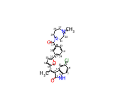 C/C(=C1\C(=O)Nc2ccc(Cl)cc21)c1ccc(-c2cccc(C(=O)N3CCCN(C)CC3)c2)o1